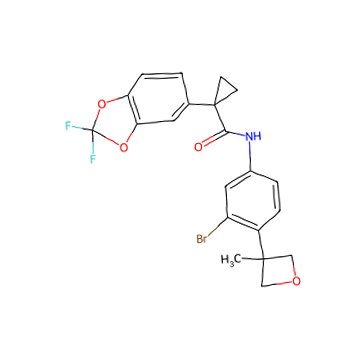 CC1(c2ccc(NC(=O)C3(c4ccc5c(c4)OC(F)(F)O5)CC3)cc2Br)COC1